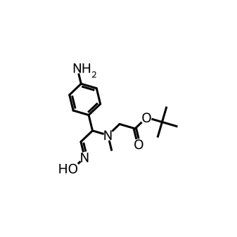 CN(CC(=O)OC(C)(C)C)C(C=NO)c1ccc(N)cc1